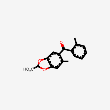 Cc1ccccc1C(=O)c1cc2c(cc1C)OC(C(=O)O)O2